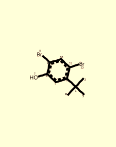 CC(C)(C)c1cc(O)c(Br)cc1Br